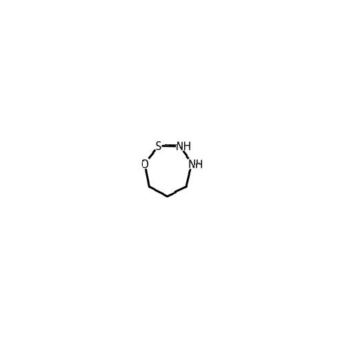 C1CNNSOC1